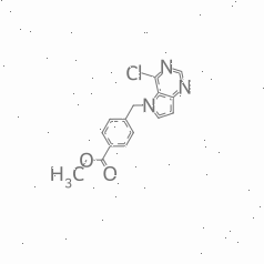 COC(=O)c1ccc(Cn2ccc3ncnc(Cl)c32)cc1